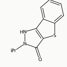 CC(C)n1[nH]c2c(sc3ccccc32)c1=O